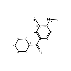 CNc1ccc(C(=O)N2CCCCC2)cc1S